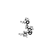 COc1cccc(CNC(=O)c2nc3n(c(=O)c2O)CC2CCC3(NC(=O)C(=O)N(C)C)CC2)c1OC